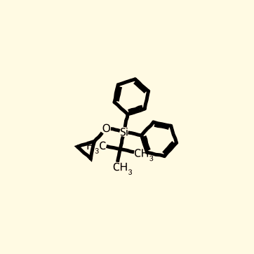 CC(C)(C)[Si](OC1CC1)(c1ccccc1)c1ccccc1